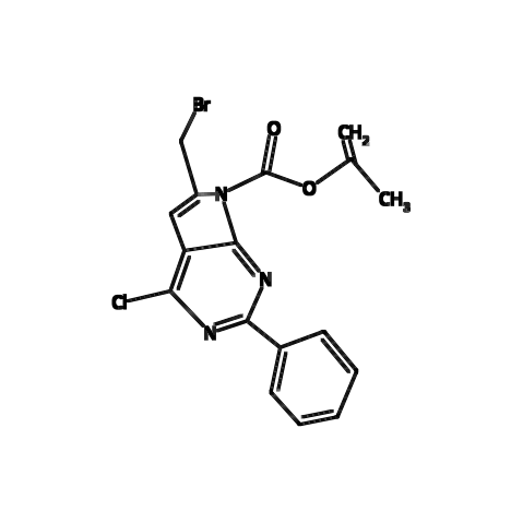 C=C(C)OC(=O)n1c(CBr)cc2c(Cl)nc(-c3ccccc3)nc21